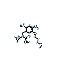 COCCCOc1cc(CN(C(=O)O)C2CC2)c(Br)cc1OC